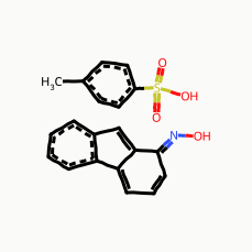 Cc1ccc(S(=O)(=O)O)cc1.ON=C1C=CC=C2C1=Cc1ccccc12